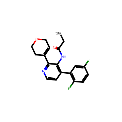 CC(C)(C)CC(=O)Nc1c(-c2cc(F)ccc2F)ccnc1C1=CCOCC1